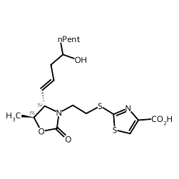 CCCCCC(O)CC=C[C@H]1[C@H](C)OC(=O)N1CCSc1nc(C(=O)O)cs1